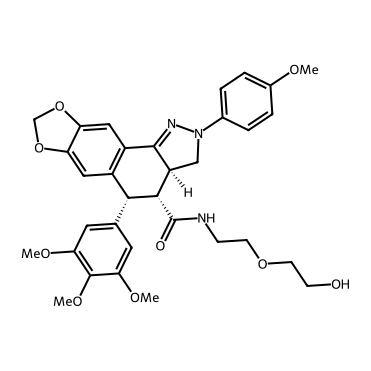 COc1ccc(N2C[C@@H]3C(=N2)c2cc4c(cc2[C@@H](c2cc(OC)c(OC)c(OC)c2)[C@H]3C(=O)NCCOCCO)OCO4)cc1